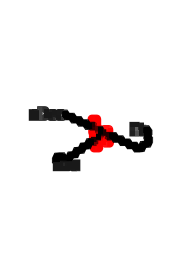 CC/C=C\C/C=C\C/C=C\CCCCCCCC(=O)O[C@H](COC(=O)CCCCCCC/C=C\C/C=C\CCCC)COC(=O)CCCCCCCCCCCCCCCCCC